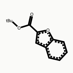 CC(C)(C)OC(=O)c1cc2ccccc2o1